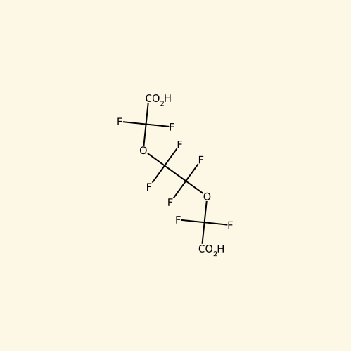 O=C(O)C(F)(F)OC(F)(F)C(F)(F)OC(F)(F)C(=O)O